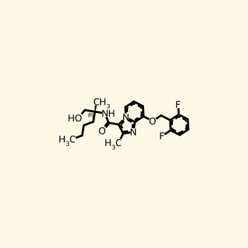 CCCC[C@](C)(CO)NC(=O)c1c(C)nc2c(OCc3c(F)cccc3F)cccn12